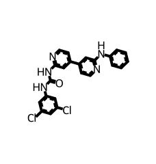 O=C(Nc1cc(Cl)cc(Cl)c1)Nc1cc(-c2ccnc(Nc3ccccc3)c2)ccn1